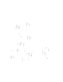 BC(B)(O)n1nc(C(C)(C)n2nccn2)cc1Nc1ncc(Br)c(NCC)n1